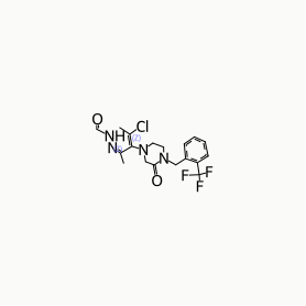 CC(=N/NC=O)/C(=C(\C)Cl)N1CCN(Cc2ccccc2C(F)(F)F)C(=O)C1